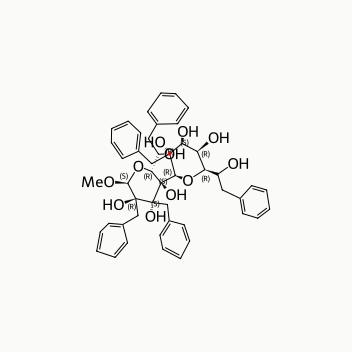 CO[C@H]1O[C@H](C(O)Cc2ccccc2)[C@](O)([C@@H]2O[C@H](C(O)Cc3ccccc3)[C@H](O)[C@H](O)[C@]2(O)Cc2ccccc2)[C@@](O)(Cc2ccccc2)[C@]1(O)Cc1ccccc1